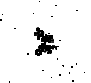 CC(C)OC(=O)[C@H](C)NP(=O)(OC[C@H]1O[C@@H](n2ccc(=O)[nH]c2=S)[C@](C)(O)C1O)Oc1ccccc1